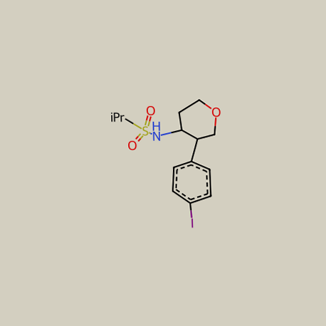 CC(C)S(=O)(=O)NC1CCOCC1c1ccc(I)cc1